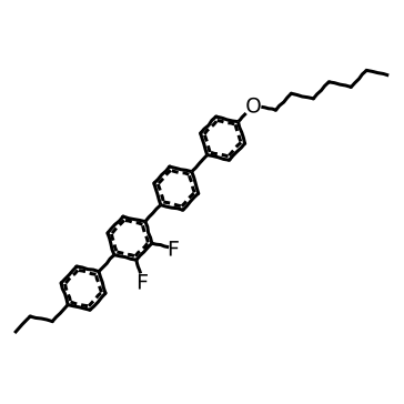 CCCCCCCOc1ccc(-c2ccc(-c3ccc(-c4ccc(CCC)cc4)c(F)c3F)cc2)cc1